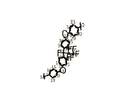 FC(F)(F)C(F)(F)C(F)(c1ccc(Oc2ccc(I)cc2)cc1)c1ccc(Oc2ccc(I)cc2)cc1